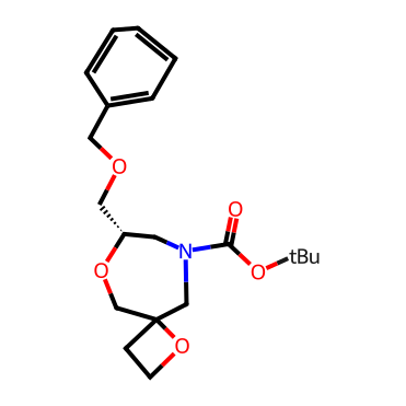 CC(C)(C)OC(=O)N1C[C@@H](COCc2ccccc2)OCC2(CCO2)C1